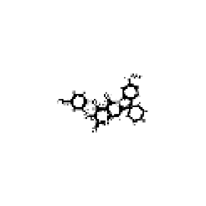 COc1ccc2c(c1)-n1c(cc3oc(=O)c(Sc4cccc(Cl)c4)c(O)c3c1=O)C21CCCCC1